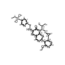 CCS(=O)(=O)c1ccc(CNc2nc3cnc(-c4c(OC)ncnc4C4CC4)nc3n([C@H](C)C(C)C)c2=O)nc1